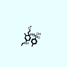 CCNC1=CC(C)C(N)(CCOC)C=C1.Cc1ccc(S(=O)(=O)O)cc1